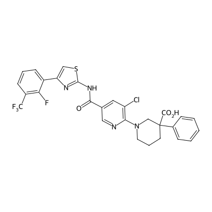 O=C(Nc1nc(-c2cccc(C(F)(F)F)c2F)cs1)c1cnc(N2CCCC(C(=O)O)(c3ccccc3)C2)c(Cl)c1